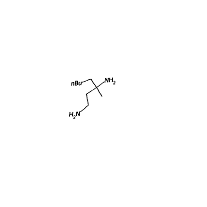 CCCCCC(C)(N)CCN